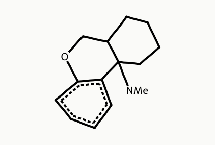 CNC12CCCCC1COc1ccccc12